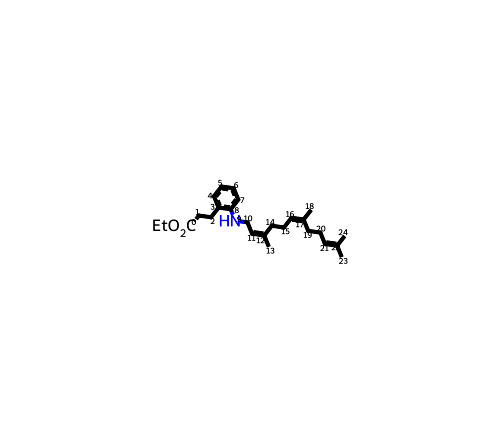 CCOC(=O)CCc1ccccc1NCC=C(C)CCC=C(C)CCC=C(C)C